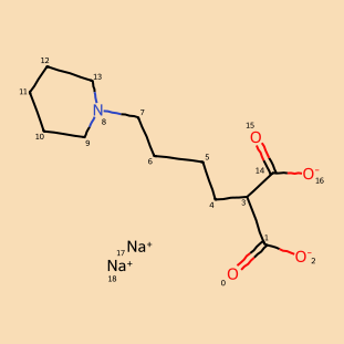 O=C([O-])C(CCCCN1CCCCC1)C(=O)[O-].[Na+].[Na+]